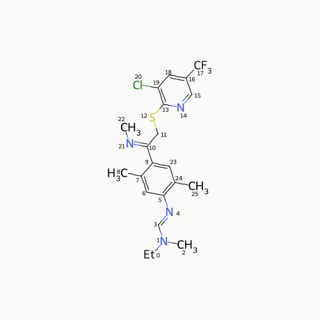 CCN(C)C=Nc1cc(C)c(C(CSc2ncc(C(F)(F)F)cc2Cl)=NC)cc1C